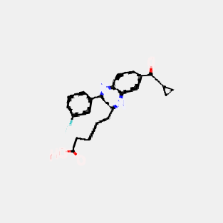 O=C(O)CCCCc1nc2cc(C(=O)C3CC3)ccc2nc1-c1cccc(F)c1